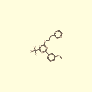 COc1cccc(-c2nc(NCCc3cnccn3)nc(C(Cl)(Cl)Cl)n2)c1